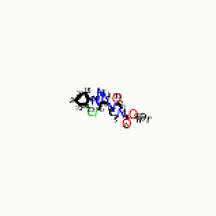 Cc1c(N2CCN(C(=O)OC(C)C)CC2=O)nnn1-c1ccccc1Cl